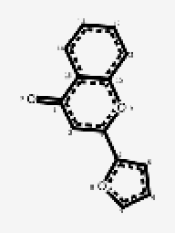 O=c1cc(-c2ccco2)oc2ccccc12